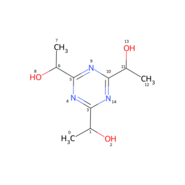 CC(O)c1nc(C(C)O)nc(C(C)O)n1